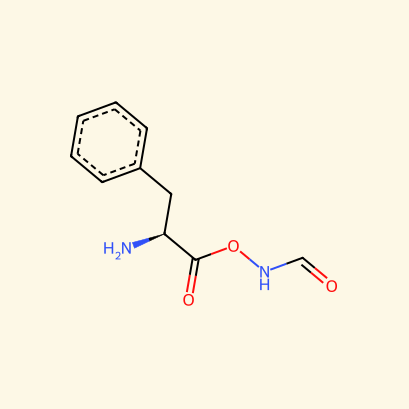 N[C@@H](Cc1ccccc1)C(=O)ONC=O